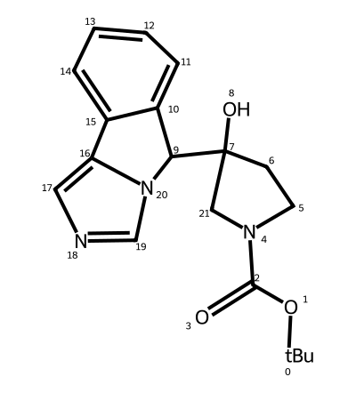 CC(C)(C)OC(=O)N1CCC(O)(C2c3ccccc3-c3cncn32)C1